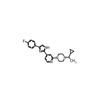 CC(C1CC1)N1CCN(c2cc(-c3nc(-c4ccc(F)cc4)c[nH]3)ccn2)CC1